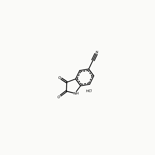 Cl.N#Cc1ccc2c(c1)C(=O)C(=O)N2